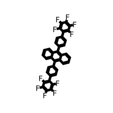 Fc1c(F)c(F)c(-c2ccc(-c3c4ccccc4c(-c4ccc(-c5c(F)c(F)c(F)c(F)c5F)cc4)c4ccccc34)cc2)c(F)c1F